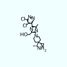 Cc1nc(N2CCC(C3CC3)([C@H](C)N)CC2)c(CO)nc1-c1cnnc(Cl)c1Cl